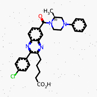 C[C@H]1CN(c2ccccc2)CCN1C(=O)c1ccc2nc(-c3ccc(Cl)cc3)c(CCCCC(=O)O)nc2c1